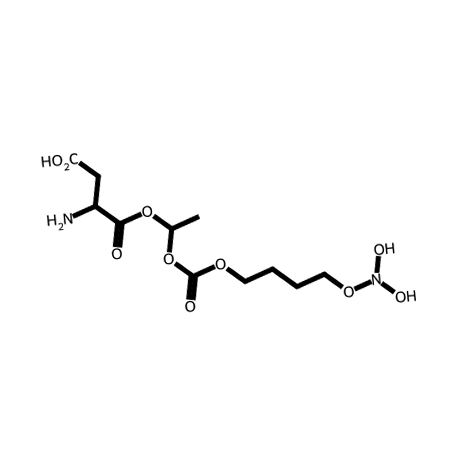 CC(OC(=O)OCCCCON(O)O)OC(=O)C(N)CC(=O)O